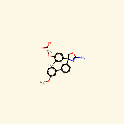 COc1cccc(-c2cccc(C3(c4ccc(OC)c(C)c4)COC(N)=N3)c2)c1.O=CO